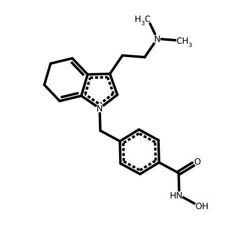 CN(C)CCc1cn(Cc2ccc(C(=O)NO)cc2)c2c1=CCCC=2